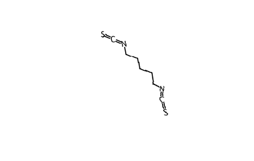 S=C=NCCCCCN=C=S